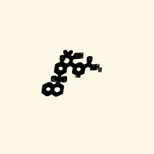 CC1(C)Oc2ccc(S(=O)(=O)N3CCCc4ccccc43)cc2C(c2cncc(C(N)=O)c2)C1O